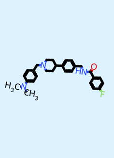 CN(C)c1ccc(CN2CCC(c3ccc(CNC(=O)c4ccc(F)cc4)cc3)CC2)cc1